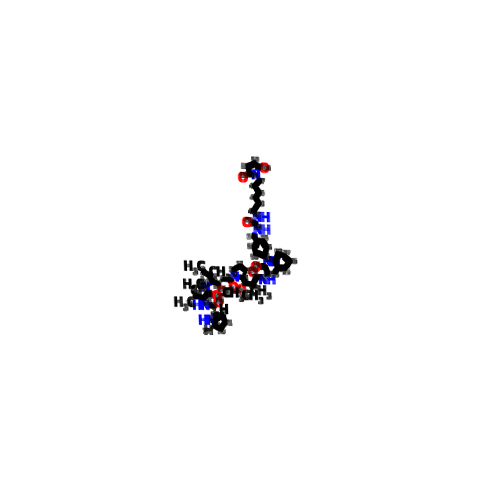 CC[C@H](C)[C@@H]([C@H](CC(=O)N1CCC[C@H]1[C@H](OC)[C@@H](C)C(=O)N[C@@H](Cc1ccccc1)C(=O)Nc1ccc(CNC(=O)NCCCCCCN2C(=O)C=CC2=O)cc1)OC)N(C)C(=O)[C@@H](NC(=O)[C@H]1N[C@@H]2CC[C@H]1C2)C(C)C